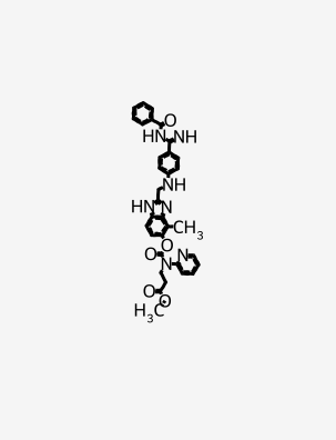 COC(=O)CCN(C(=O)Oc1ccc2[nH]c(CNc3ccc(C(=N)NC(=O)c4ccccc4)cc3)nc2c1C)c1ccccn1